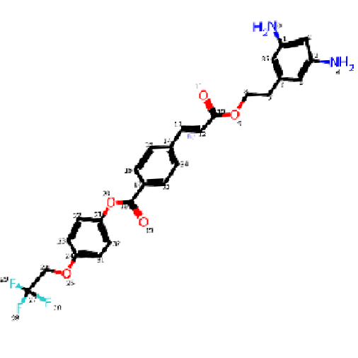 Nc1cc(N)cc(CCOC(=O)/C=C/c2ccc(C(=O)Oc3ccc(OCC(F)(F)F)cc3)cc2)c1